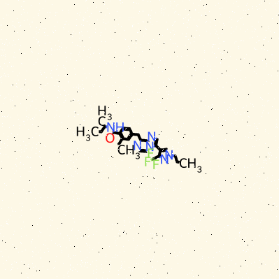 CCCn1cc(-c2cnc3c(Cc4ccc(C(=O)N[C@@H](C)CC)c(CC)c4)nccn23)c(C(F)(F)F)n1